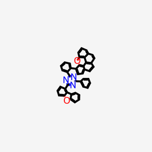 c1ccc(-c2nc(-c3ccccc3-c3ccc4ccc5ccc6cccc7c6c5c4c3O7)nc(-c3cccc4oc5ccccc5c34)n2)cc1